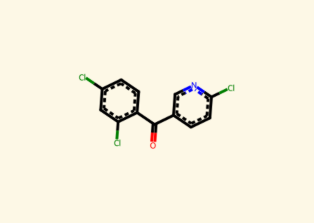 O=C(c1ccc(Cl)nc1)c1ccc(Cl)cc1Cl